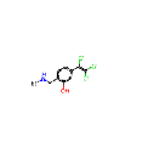 CCNCc1ccc(C(Cl)=C(Cl)Cl)cc1O